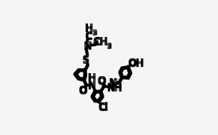 CCN(CC)CCSCc1cccc(C(=O)Nc2ccc(Cl)cc2C(=O)N/N=C/c2ccc(O)cc2)c1